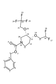 O=C(OCc1ccccc1)N1CC[C@@H](OCC(F)F)[C@@H](OCC(F)(F)F)C1